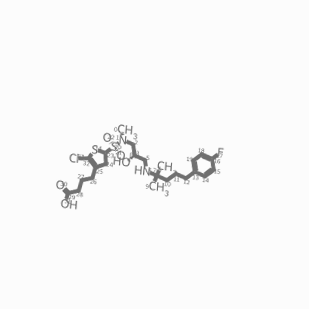 CN(C[C@H](O)CNC(C)(C)CCCc1ccc(F)cc1)S(=O)(=O)C1CC(CCCC(=O)O)=C(Cl)S1